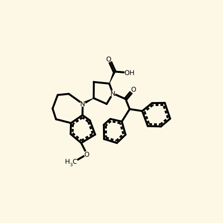 COc1ccc2c(c1)CCCCN2[C@H]1C[C@@H](C(=O)O)N(C(=O)C(c2ccccc2)c2ccccc2)C1